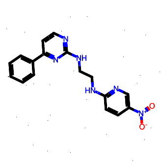 O=[N+]([O-])c1ccc(NCCNc2nccc(-c3cc[c]cc3)n2)nc1